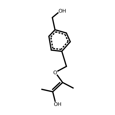 C/C(O)=C(/C)OCc1ccc(CO)cc1